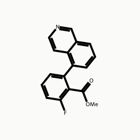 COC(=O)c1c(F)cccc1-c1cccc2cnccc12